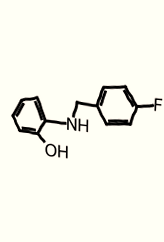 Oc1ccccc1NCc1ccc(F)cc1